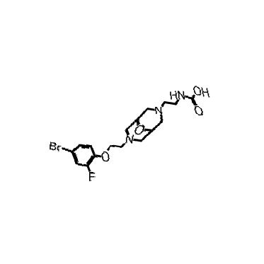 O=C(O)NCCN1CC2CN(CCOc3ccc(Br)cc3F)CC(C1)O2